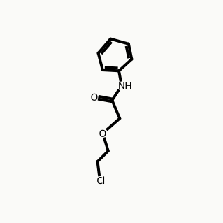 O=C(COCCCl)Nc1ccccc1